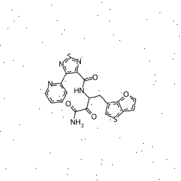 NC(=O)C(=O)C(Cc1csc2ccoc12)NC(=O)c1nsnc1-c1ccccn1